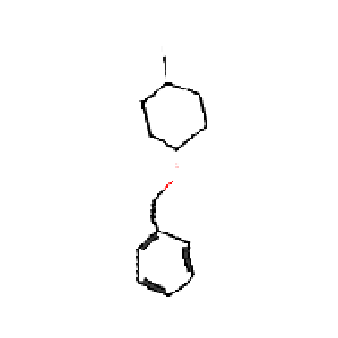 O=C[C@H]1CC[C@H](OCc2ccccc2)CC1